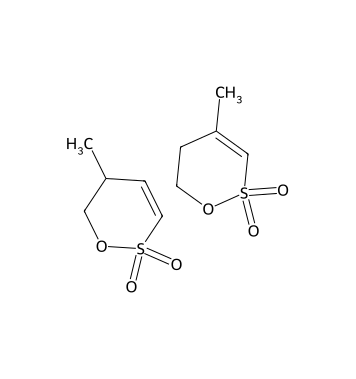 CC1=CS(=O)(=O)OCC1.CC1C=CS(=O)(=O)OC1